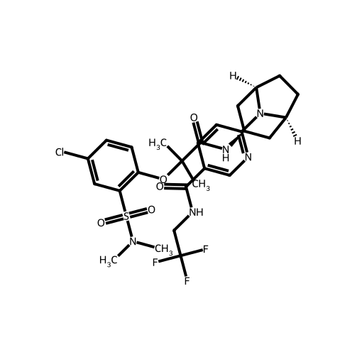 CN(C)S(=O)(=O)c1cc(Cl)ccc1OC(C)(C)C(=O)N[C@H]1C[C@H]2CC[C@@H](C1)N2c1ccc(C(=O)NCC(F)(F)F)cn1